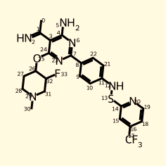 CC(=N)c1c(N)nc(-c2ccc(NSc3cc(C(F)(F)F)ccn3)cc2)nc1OC1CCN(C)CC1F